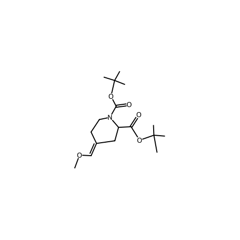 CO/C=C1\CCN(C(=O)OC(C)(C)C)C(C(=O)OC(C)(C)C)C1